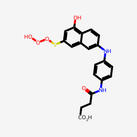 O=C(O)CCC(=O)Nc1ccc(Nc2ccc3c(O)cc(SOOO)cc3c2)cc1